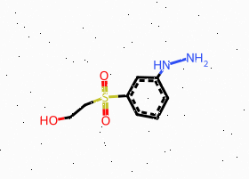 NNc1cccc(S(=O)(=O)CCO)c1